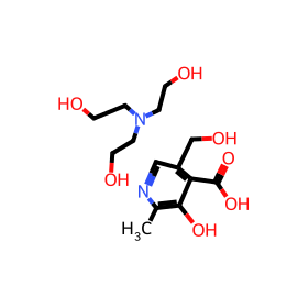 Cc1ncc(CO)c(C(=O)O)c1O.OCCN(CCO)CCO